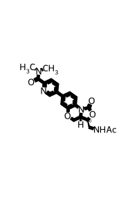 CC(=O)NC[C@@H]1OC(=O)N2c3ccc(-c4ccc(C(=O)N(C)C)nc4)cc3OC[C@@H]12